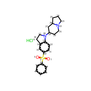 Cl.O=S(=O)(c1ccccc1)c1ccc2c(c1)CCN2C1CCN2CCCC2C1